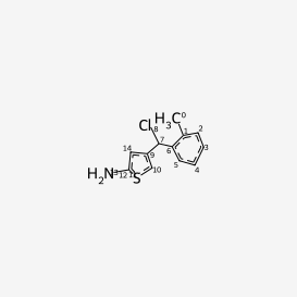 Cc1ccccc1C(Cl)c1csc(N)c1